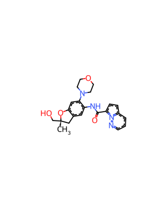 C[C@]1(CO)Cc2cc(NC(=O)c3ccc4cccnn34)c(N3CCOCC3)cc2O1